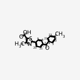 Cc1ccc(C(=O)c2ccc(-c3nc(C)c(C(=O)O)s3)cc2)cc1